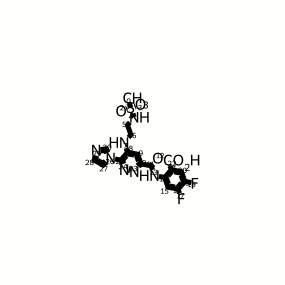 CS(=O)(=O)NCCNc1cc(C(=O)Nc2cc(F)c(F)cc2C(=O)O)nnc1-n1ccnc1